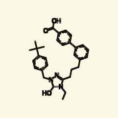 CCN1C(CCCc2cccc(-c3ccc(C(=O)O)cc3)c2)=NN(Cc2ccc(C(C)(C)C)cc2)C1O